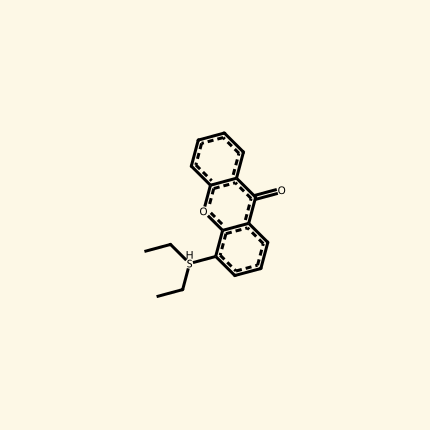 CC[SH](CC)c1cccc2c(=O)c3ccccc3oc12